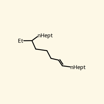 [CH2]CCCCCCC=CCCCC(CC)CCCCCC[CH2]